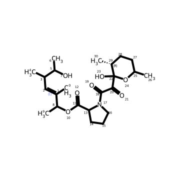 C/C(=C\C(C)C(C)O)C(C)OC(=O)C1CCCN1C(=O)C(=O)C1(O)OC(C)CC[C@H]1C